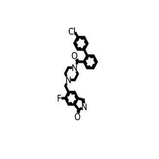 O=C1N=Cc2cc(CN3CCN(C(=O)c4ccccc4-c4ccc(Cl)cc4)CC3)c(F)cc21